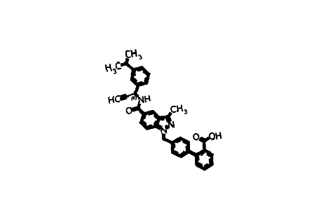 C#C[C@H](NC(=O)c1ccc2c(c1)c(C)nn2Cc1ccc(-c2ccccc2C(=O)O)cc1)c1cccc(C(C)C)c1